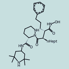 CCCCCCC[C@@H](C(=O)N1NCCC[C@H]1C(=O)NC1CC(C)(C)NC(C)(C)C1)[C@H](CCCc1ccccc1)C(=O)NO